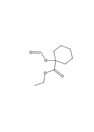 CCOC(=O)C1(OC=O)CCCCC1